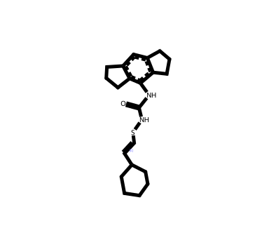 O=C(NS/C=C/C1CCCCC1)Nc1c2c(cc3c1CCC3)CCC2